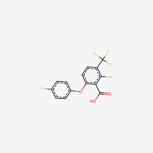 O=C(O)c1c(Oc2ccc(F)cc2)ccc(C(F)(F)F)c1F